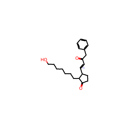 O=C(/C=C/C1CCC(=O)C1CCCCCCCO)Cc1ccccc1